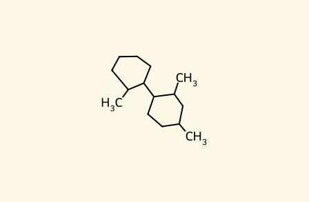 CC1CCC(C2CCCCC2C)C(C)C1